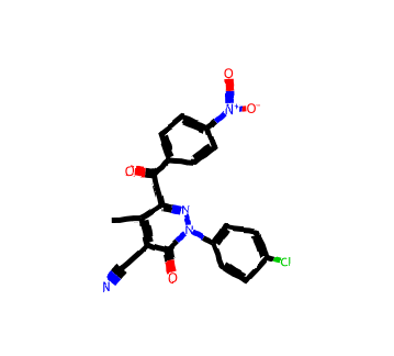 Cc1c(C(=O)c2ccc([N+](=O)[O-])cc2)nn(-c2ccc(Cl)cc2)c(=O)c1C#N